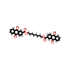 O=C(OCCCCCCCCOC(=O)c1ccc2c(c1)C(=O)c1ccccc1C2=O)c1ccc2c(c1)C(=O)c1ccccc1C2=O